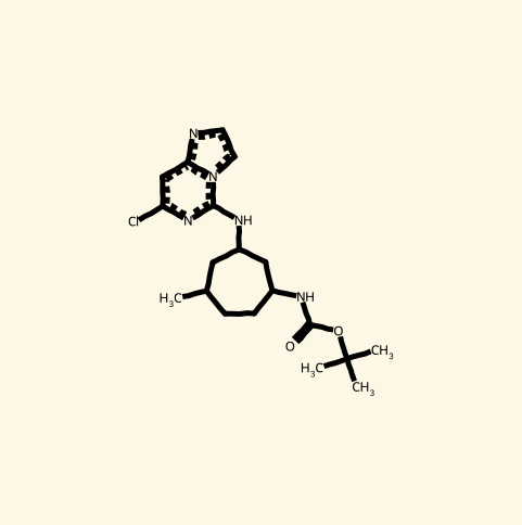 CC1CCC(NC(=O)OC(C)(C)C)CC(Nc2nc(Cl)cc3nccn23)C1